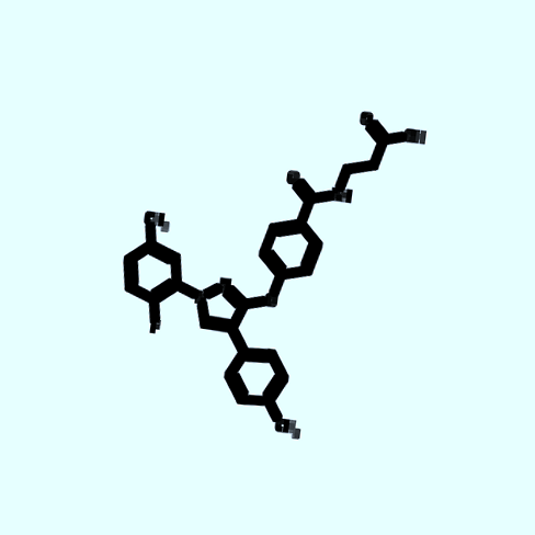 Cc1ccc(-c2cn(-c3cc(C)ccc3F)nc2Oc2ccc(C(=O)NCCC(=O)O)cc2)cc1